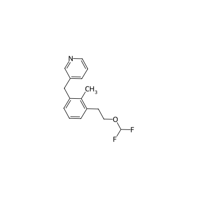 Cc1c(CCOC(F)F)cccc1Cc1cccnc1